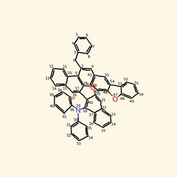 C(=C(\Cc1ccccc1)c1c2ccccc2cc2c1oc1cc3ccccc3c(N(c3ccccc3)c3ccccc3)c12)/c1ccc2oc3ccccc3c2c1